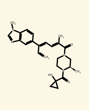 C=C/C(=C\C=C(/C)C(=O)N1CCN(C(=O)C2(O)CC2)[C@H](C)C1)c1ccc2c(c1)ncn2C